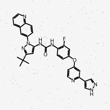 CC(C)(C)c1cc(NC(=O)Nc2ccc(Oc3ccnc(-c4cn[nH]c4)c3)cc2F)n(-c2ccc3ncccc3c2)n1